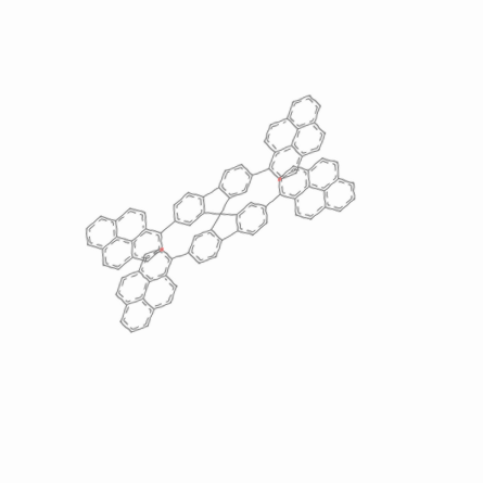 c1cc2ccc3ccc(-c4ccc5c(c4)C4(c6cc(-c7ccc8ccc9cccc%10ccc7c8c9%10)ccc6-5)c5cc(-c6ccc7ccc8cccc9ccc6c7c89)ccc5-c5ccc(-c6ccc7ccc8cccc9ccc6c7c89)cc54)c4ccc(c1)c2c34